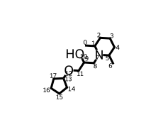 CC1CCCC(C)N1CC(O)COC1CCCC1